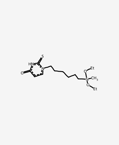 CCO[Si](C)(CCCCCCn1ccc(=O)[nH]c1=S)OCC